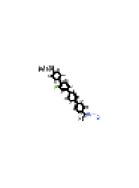 CCC(N)C1CCC(C2CCC(c3ccc(C4CCC(NC)CC4)c(F)c3)CC2)CC1